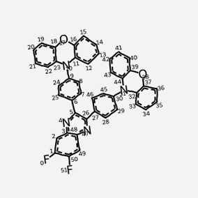 Fc1cc2nc(-c3ccc(N4c5ccccc5Oc5ccccc54)cc3)c(-c3ccc(N4c5ccccc5Oc5ccccc54)cc3)nc2cc1F